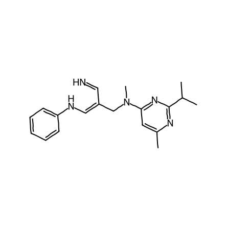 Cc1cc(N(C)C/C(C=N)=C/Nc2ccccc2)nc(C(C)C)n1